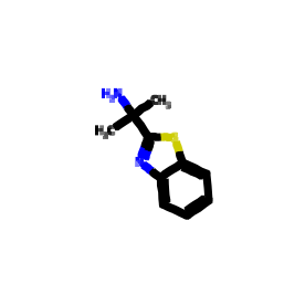 CC(C)(N)c1nc2ccccc2s1